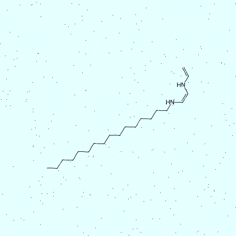 C=CN/C=C\NCCCCCCCCCCCCCCCC